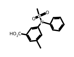 Cc1cc(C(=O)O)cc(N(c2ccccc2)S(C)(=O)=O)c1